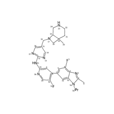 Cc1nc2c(F)cc(-c3cc(Nc4ncc(CN5CC6(C)CCNCC56)cn4)ncc3F)cc2n1C(C)C